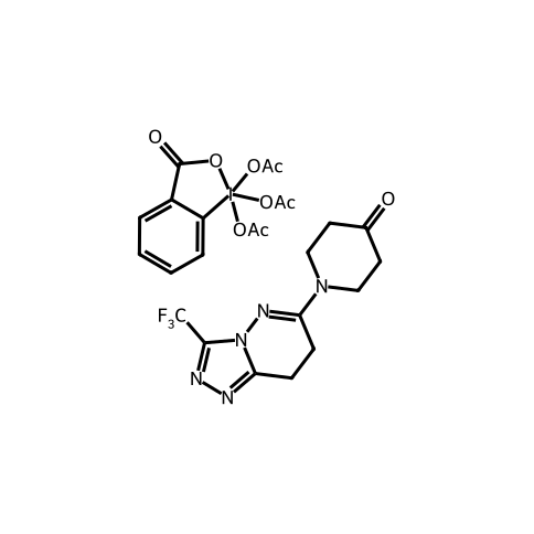 CC(=O)OI1(OC(C)=O)(OC(C)=O)OC(=O)c2ccccc21.O=C1CCN(C2=Nn3c(nnc3C(F)(F)F)CC2)CC1